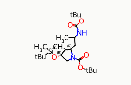 CC(C[C@@H]1C[C@@H](O[Si](C)(C)C(C)(C)C)CN1C(=O)OC(C)(C)C)NC(=O)OC(C)(C)C